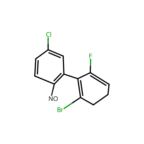 O=Nc1ccc(Cl)cc1C1=C(Br)CCC=C1F